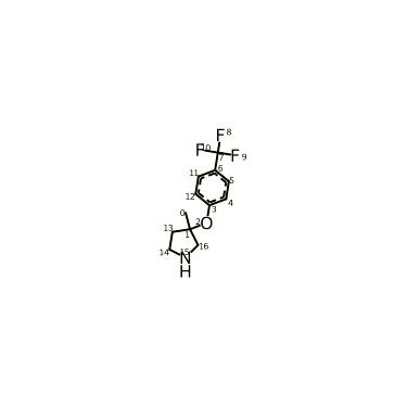 CC1(Oc2ccc(C(F)(F)F)cc2)CCNC1